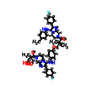 Cc1ccc(Nc2c(-c3ccc(F)cc3)nc3n2CCN(C(=O)C(C)(C)COc2ccc(Nc4c(-c5ccc(F)cc5)nc5n4CCN(C(=O)C(C)(CO)CO)C5)cc2)C3)cc1